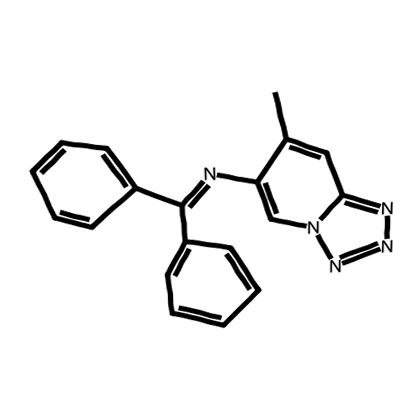 Cc1cc2nnnn2cc1N=C(c1ccccc1)c1ccccc1